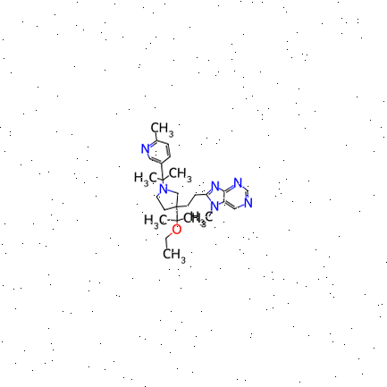 CCOC(C)(C)C1(CCc2nc3ncncc3n2C)CCN(C(C)(C)c2ccc(C)nc2)C1